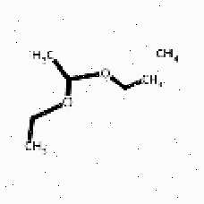 C.CCOC(C)OCC